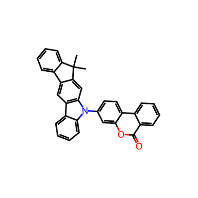 CC1(C)c2ccccc2-c2cc3c4ccccc4n(-c4ccc5c(c4)oc(=O)c4ccccc45)c3cc21